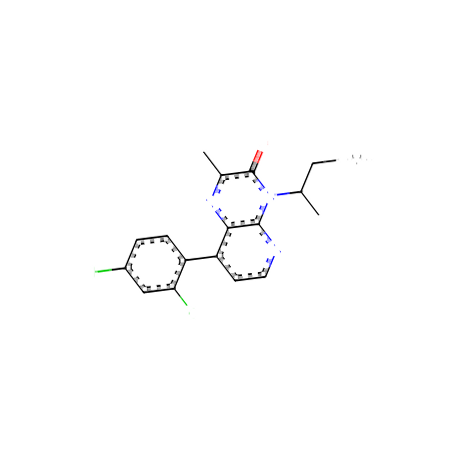 COCC(C)n1c(=O)c(C)nc2c(-c3ccc(Cl)cc3Cl)ccnc21